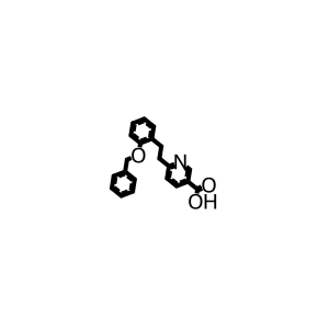 O=C(O)c1ccc(CCc2ccccc2OCc2ccccc2)nc1